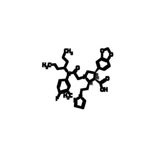 CCCC(CCC)N(C(=O)CN1C[C@H](c2ccc3c(c2)OCO3)[C@H](C(=O)O)[C@H]1CCn1cccn1)c1ccc(F)c(C)c1